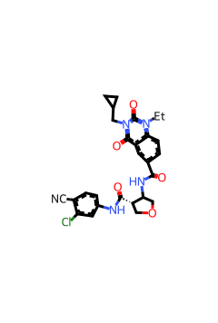 CCn1c(=O)n(CC2CC2)c(=O)c2cc(C(=O)NC3COC[C@@H]3C(=O)Nc3ccc(C#N)c(Cl)c3)ccc21